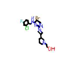 OCCN1CCCC(C2CN(c3ncc(Br)c(NCc4ccc(F)cc4Cl)n3)C2)C1